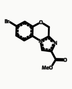 COC(=O)c1cn2c(n1)COc1cc(Br)ccc1-2